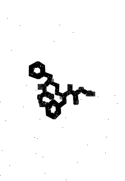 CC(C)(C)OC(=O)N[C@H](CC[C@H](Cc1ccccc1)NC(=O)OC(C)(C)C)Cc1ccccc1